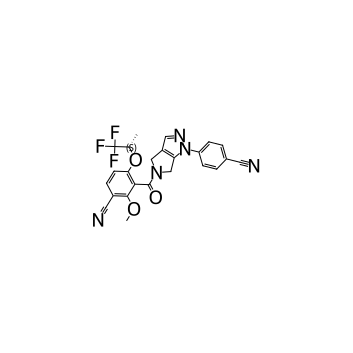 COc1c(C#N)ccc(O[C@@H](C)C(F)(F)F)c1C(=O)N1Cc2cnn(-c3ccc(C#N)cc3)c2C1